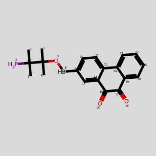 CC(C)(P)C(C)(C)OBc1ccc2c(c1)C(=O)C(=O)c1ccccc1-2